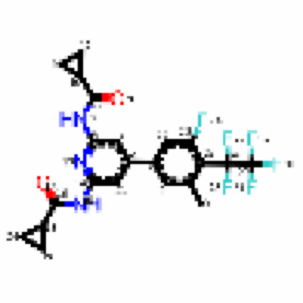 Cc1cc(-c2cc(NC(=O)C3CC3)nc(NC(=O)C3CC3)c2)cc(F)c1C(F)(F)C(F)(F)F